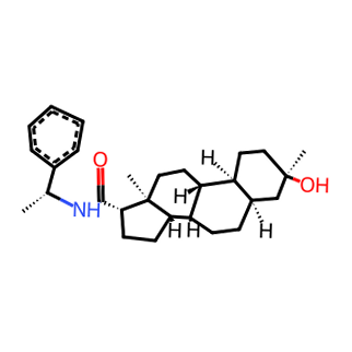 C[C@@H](NC(=O)[C@H]1CC[C@H]2[C@@H]3CC[C@@H]4C[C@](C)(O)CC[C@@H]4[C@H]3CC[C@]12C)c1ccccc1